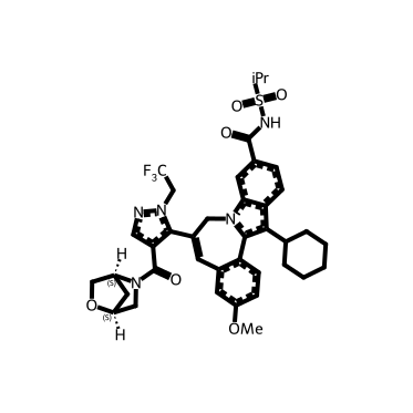 COc1ccc2c(c1)C=C(c1c(C(=O)N3C[C@@H]4C[C@H]3CO4)cnn1CC(F)(F)F)Cn1c-2c(C2CCCCC2)c2ccc(C(=O)NS(=O)(=O)C(C)C)cc21